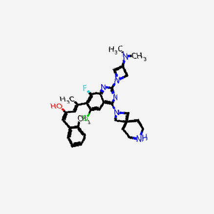 C/C(=C\C(O)=C/c1ccccc1C)c1c(Cl)cc2c(N3CC4(CCNCC4)C3)nc(N3CC(N(C)C)C3)nc2c1F